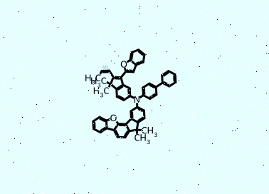 C/C=C\C1=C(c2cc3ccccc3o2)c2cc(N(c3ccc(-c4ccccc4)cc3)c3ccc4c(c3)-c3c(ccc5c3oc3ccccc35)C4(C)C)ccc2C1(C)C